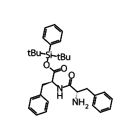 CC(C)(C)[Si](OC(=O)[C@H](Cc1ccccc1)NC(=O)[C@@H](N)Cc1ccccc1)(c1ccccc1)C(C)(C)C